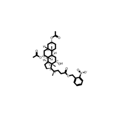 CC(=O)O[C@@H]1CC[C@@]2(C)[C@@H](C1)C[C@@H](OC(C)=O)[C@@H]1[C@@H]2C[C@H](O)[C@]2(C)[C@@H]([C@H](C)CCC(=O)OCc3ccccc3[N+](=O)[O-])CC[C@@H]12